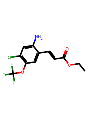 CCOC(=O)C=Cc1cc(OC(F)(F)F)c(Cl)cc1N